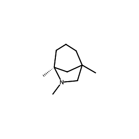 CN1CC2(C)CCC[C@@]1(C)C2